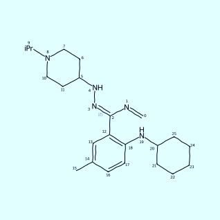 C=N/C(=N\NC1CCN(C(C)C)CC1)c1cc(C)ccc1NC1CCCCC1